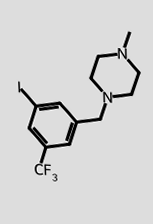 CN1CCN(Cc2cc(I)cc(C(F)(F)F)c2)CC1